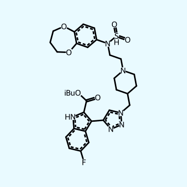 CC(C)COC(=O)c1[nH]c2ccc(F)cc2c1-c1cn(CC2CCN(CCN(c3ccc4c(c3)OCCCO4)[SH](=O)=O)CC2)nn1